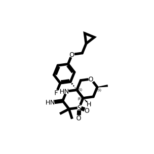 C[C@H]1C[C@@H]2[C@](c3cc(OCC4CC4)ccc3F)(CO1)NC(=N)C(C)(C)S2(=O)=O